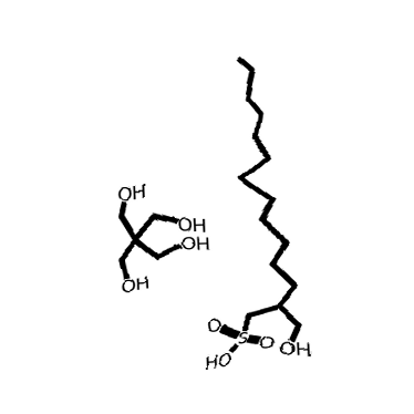 CCCCCCCCCCCCC(CO)CS(=O)(=O)O.OCC(CO)(CO)CO